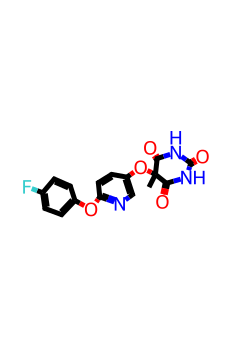 CC1(Oc2ccc(Oc3ccc(F)cc3)nc2)C(=O)NC(=O)NC1=O